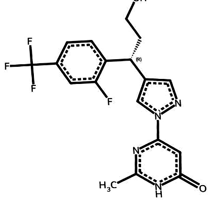 Cc1nc(-n2cc([C@@H](CCO)c3ccc(C(F)(F)F)cc3F)cn2)cc(=O)[nH]1